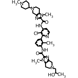 Cc1c(NC(=O)c2nc3c(n2C)CCN(CC(C)O)C3)cccc1-c1nccc(NC(=O)c2nc3c(n2C)CCN(C2CCN(C)CC2)C3)c1Cl